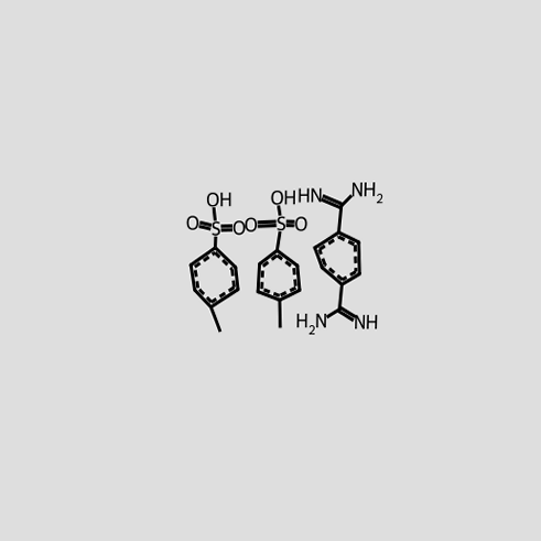 Cc1ccc(S(=O)(=O)O)cc1.Cc1ccc(S(=O)(=O)O)cc1.N=C(N)c1ccc(C(=N)N)cc1